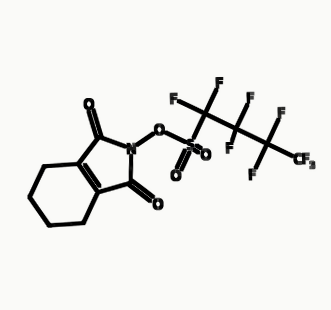 O=C1C2=C(CCCC2)C(=O)N1OS(=O)(=O)C(F)(F)C(F)(F)C(F)(F)C(F)(F)F